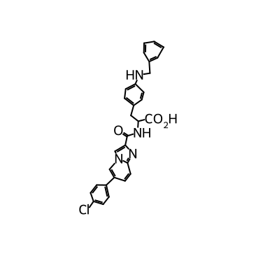 O=C(NC(Cc1ccc(NCc2ccccc2)cc1)C(=O)O)c1cn2cc(-c3ccc(Cl)cc3)ccc2n1